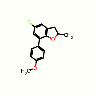 [CH2]C1Cc2cc(F)cc(-c3ccc(OC)cc3)c2O1